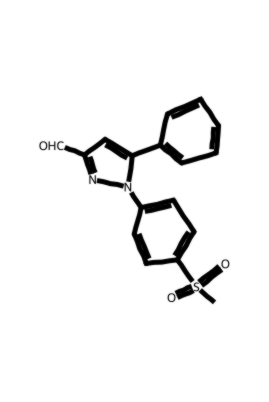 CS(=O)(=O)c1ccc(-n2nc(C=O)cc2-c2ccccc2)cc1